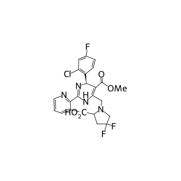 COC(=O)C1=C(CN2CC(F)(F)CC2C(=O)O)NC(c2ncccc2C)=N[C@H]1c1ccc(F)cc1Cl